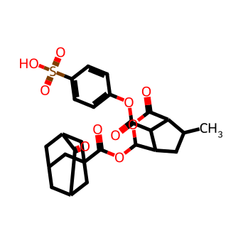 CC1CC2C(OC(=O)C34CC5CC(C3)C(=O)C(C5)C4)OC(=O)C1C2C(=O)Oc1ccc(S(=O)(=O)O)cc1